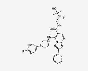 CC(C)(O)[C@H](F)CNC(=O)c1cnc2cc(-c3cccnc3)nn2c1N[C@H]1CCN(c2cnc(F)nc2)C1